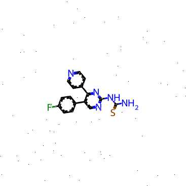 NC(=S)Nc1ncc(-c2ccc(F)cc2)c(-c2ccncc2)n1